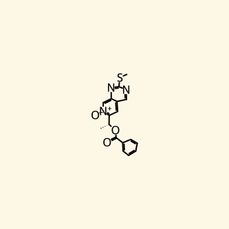 CSc1ncc2cc([C@@H](C)OC(=O)c3ccccc3)[n+]([O-])cc2n1